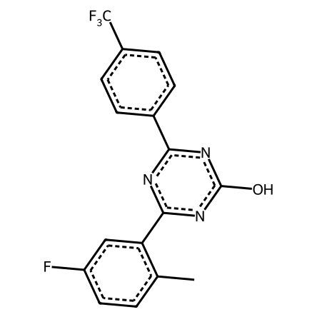 Cc1ccc(F)cc1-c1nc(O)nc(-c2ccc(C(F)(F)F)cc2)n1